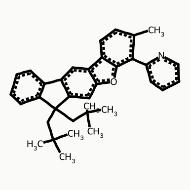 Cc1ccc2c(oc3cc4c(cc32)-c2ccccc2C4(CC(C)(C)C)CC(C)(C)C)c1-c1ccccn1